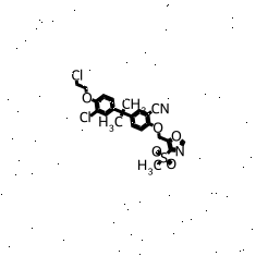 CC(C)(c1ccc(OCCCl)c(Cl)c1)c1ccc(OCc2ocnc2S(C)(=O)=O)c(C#N)c1